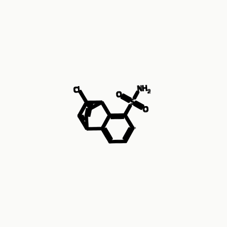 NS(=O)(=O)c1[c]ccc2c3ccc(c(Cl)c3)c12